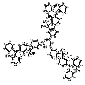 CCC1(CC)c2cc(-c3nc(-c4ccc5c(c4)C(CC)(CC)c4cc(N(c6ccccc6)c6c(C(C)C)cccc6C(C)C)ccc4-5)nc(-c4ccc5c(c4)C(CC)(CC)c4cc(N(c6ccccc6)c6c(C(C)C)cccc6C(C)C)ccc4-5)n3)ccc2-c2ccc(N(c3ccccc3)c3c(C(C)C)cccc3C(C)C)cc21